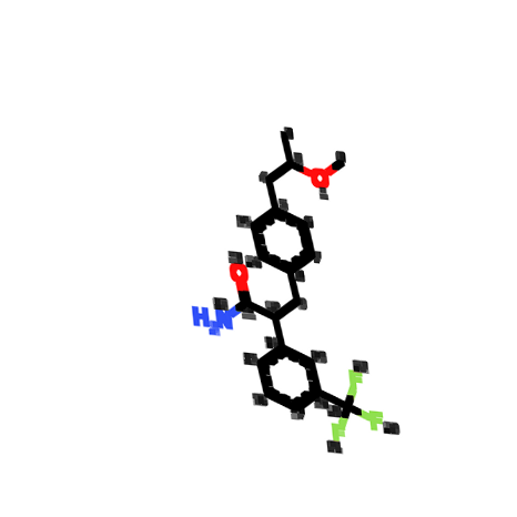 COC(C)Cc1ccc(CC(C(N)=O)c2cccc(C(F)(F)F)c2)cc1